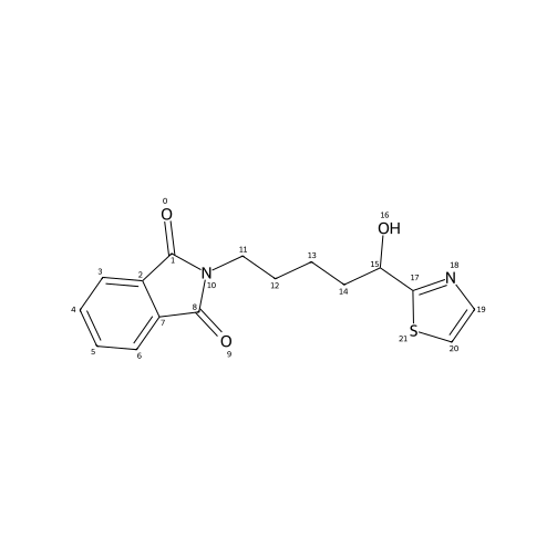 O=C1c2ccccc2C(=O)N1CCCCC(O)c1nccs1